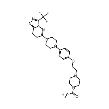 CC(=O)N1CCN(CCOc2ccc(N3CCN(C4=Nn5c(nnc5C(F)(F)F)CC4)CC3)cc2)CC1